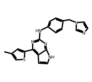 Cc1csc(-c2nc(Nc3ccc(Cn4ccnc4)cc3)nc3[nH]ccc23)c1